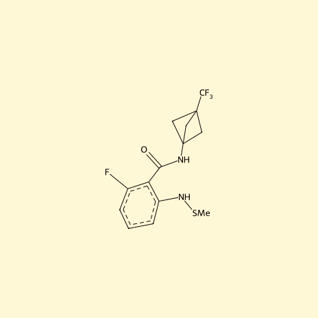 CSNc1cccc(F)c1C(=O)NC12CC(C(F)(F)F)(C1)C2